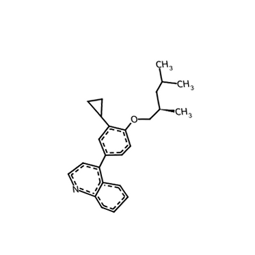 CC(C)C[C@@H](C)COc1ccc(-c2ccnc3ccccc23)cc1C1CC1